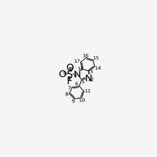 O=S(=O)(F)n1c(-c2ccccc2)nc2ccccc21